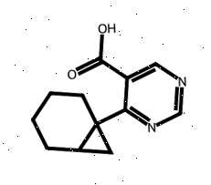 O=C(O)c1cn[c]nc1C12CCCCC1C2